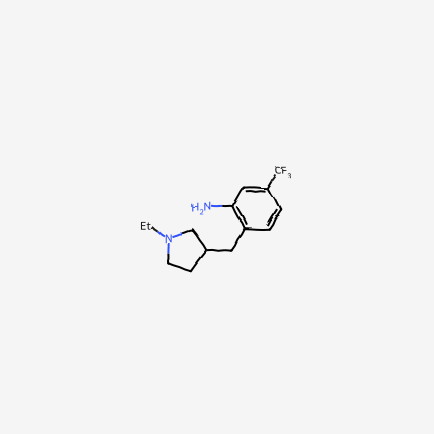 CCN1CCC(Cc2ccc(C(F)(F)F)cc2N)C1